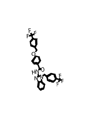 O=C(Nc1nc2ccccc2n1Cc1ccc(C(F)(F)F)cc1)c1ccc(OCc2ccc(C(F)(F)F)cc2)cc1